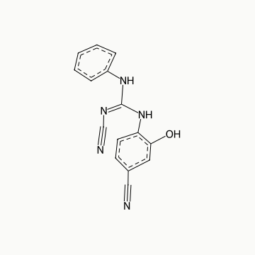 N#CN=C(Nc1ccccc1)Nc1ccc(C#N)cc1O